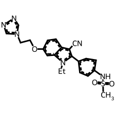 CCn1c(-c2ccc(NS(C)(=O)=O)cc2)c(C#N)c2ccc(OCCn3cnnc3)cc21